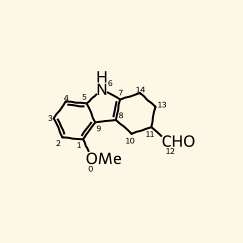 COc1cccc2[nH]c3c(c12)CC(C=O)CC3